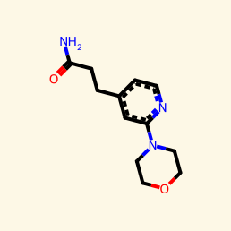 NC(=O)CCc1ccnc(N2CCOCC2)c1